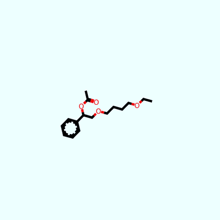 CCOCCCCOCC(OC(C)=O)c1ccccc1